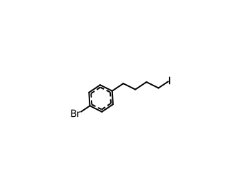 Brc1ccc(CCCCI)cc1